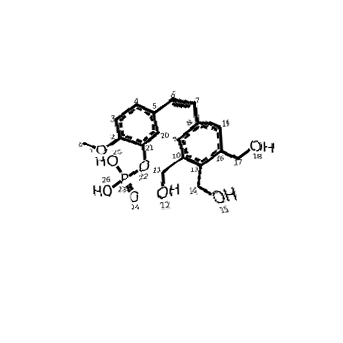 COc1ccc(/C=C\c2cc(CO)c(CO)c(CO)c2)cc1OP(=O)(O)O